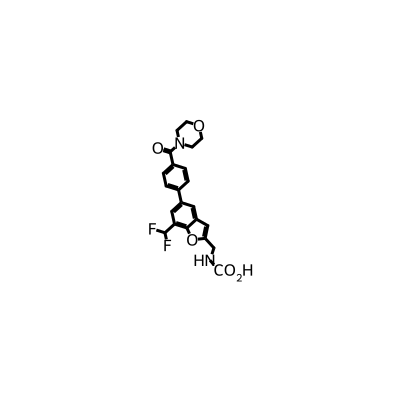 O=C(O)NCc1cc2cc(-c3ccc(C(=O)N4CCOCC4)cc3)cc(C(F)F)c2o1